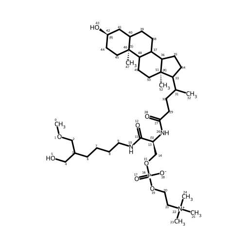 COCC(CO)CCCCNC(=O)[C@H](COP(=O)([O-])OCC[N+](C)(C)C)NC(=O)CCC(C)C1CCC2C3CCC4C[C@H](O)CC[C@]4(C)C3CC[C@]12C